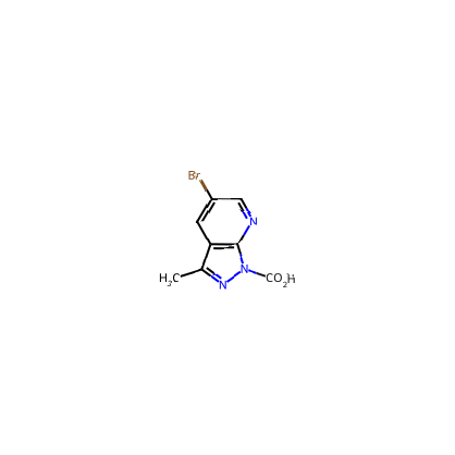 Cc1nn(C(=O)O)c2ncc(Br)cc12